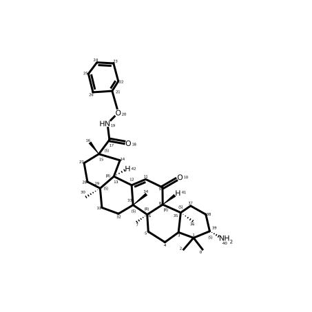 CC1(C)C2CC[C@]3(C)[C@H](C(=O)C=C4[C@@H]5C[C@@](C)(C(=O)NOc6ccccc6)CC[C@]5(C)CC[C@]43C)[C@@]2(C)CC[C@@H]1N